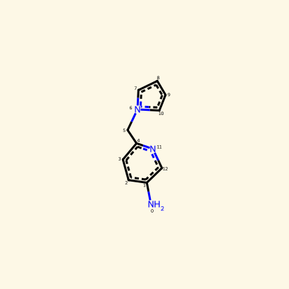 Nc1ccc(Cn2cccc2)nc1